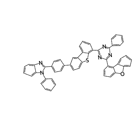 c1ccc(-c2nc(-c3cccc4c3sc3ccc(-c5ccc(-c6nc7ccccc7n6-c6ccccc6)cc5)cc34)nc(-c3cccc4oc5ccccc5c34)n2)cc1